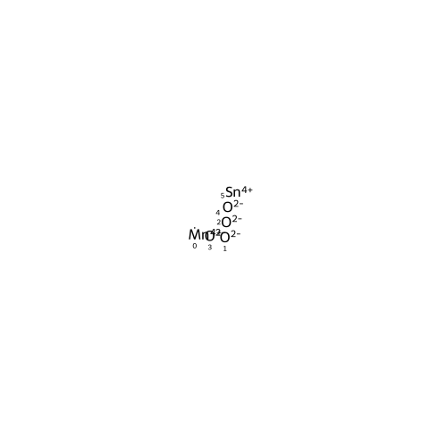 [Mn+4].[O-2].[O-2].[O-2].[O-2].[Sn+4]